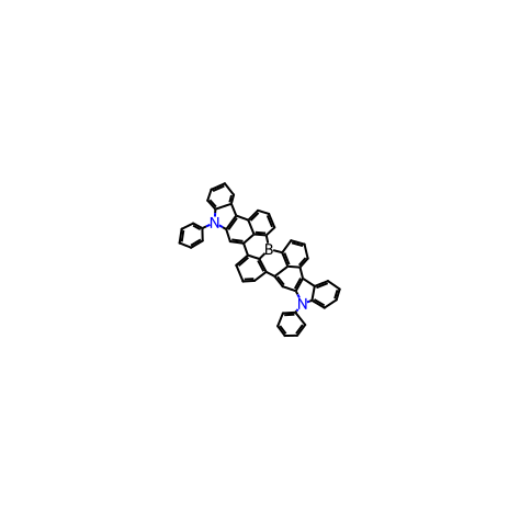 c1ccc(-n2c3ccccc3c3c4cccc5c4c(cc32)-c2cccc3c2B5c2cccc4c2c-3cc2c4c3ccccc3n2-c2ccccc2)cc1